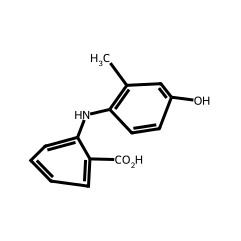 Cc1cc(O)ccc1Nc1ccccc1C(=O)O